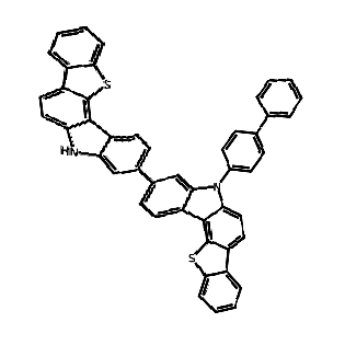 c1ccc(-c2ccc(-n3c4cc(-c5ccc6c(c5)[nH]c5ccc7c8ccccc8sc7c56)ccc4c4c5sc6ccccc6c5ccc43)cc2)cc1